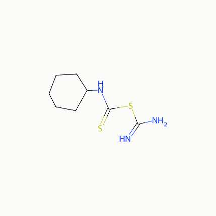 N=C(N)SC(=S)NC1CCCCC1